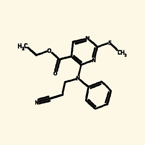 CCOC(=O)c1cnc(SC)nc1N(CCC#N)c1ccccc1